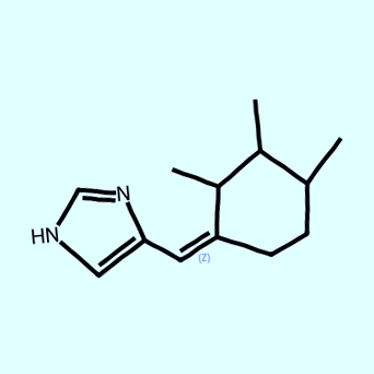 CC1CC/C(=C/c2c[nH]cn2)C(C)C1C